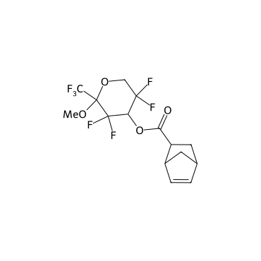 COC1(C(F)(F)F)OCC(F)(F)C(OC(=O)C2CC3C=CC2C3)C1(F)F